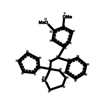 COc1ccc(C(CC2(c3ccccc3)CCCC[Se]2)c2ccccc2)cc1OC